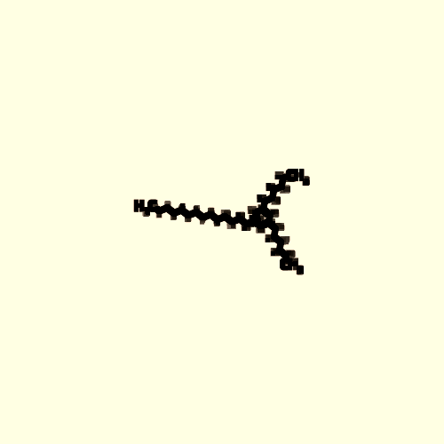 CCCCCCCCCCCCCC[n+]1cc(CCCCCC)cc(CCCCCC)c1